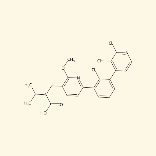 COc1nc(-c2cccc(-c3ccnc(Cl)c3Cl)c2Cl)ccc1CN(C(=O)O)C(C)C